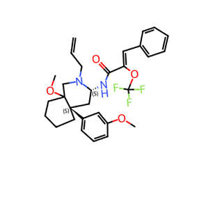 C=CCN1CC2(OC)CCCC[C@@]2(c2cccc(OC)c2)C[C@H]1NC(=O)C(=Cc1ccccc1)OC(F)(F)F